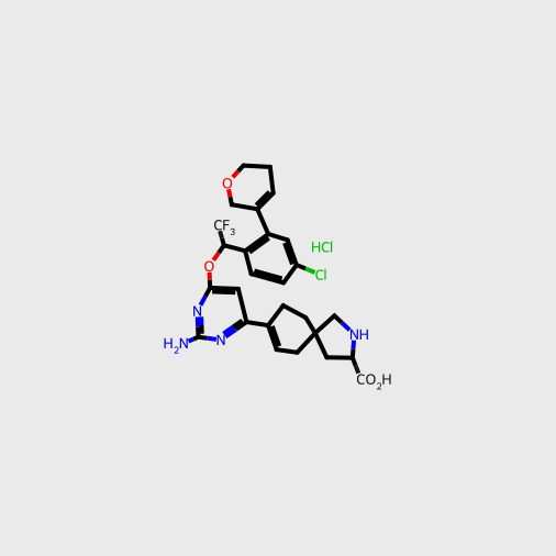 Cl.Nc1nc(OC(c2ccc(Cl)cc2C2=CCCOC2)C(F)(F)F)cc(C2=CCC3(CC2)CNC(C(=O)O)C3)n1